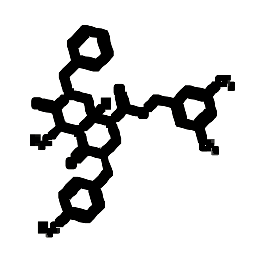 Cc1ccc(C[C@@H]2CN(C(=O)OCc3cc(C(F)(F)F)cc(C(F)(F)F)c3)[C@H]3CN(Cc4ccccc4)C(=O)[C@H](C)N3C2=O)cc1